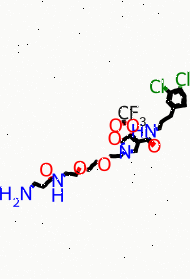 NCCC(=O)NCCOCCOCCN1CC(C(=O)NCCCc2ccc(Cl)c(Cl)c2)=C(OC(=O)C(F)(F)F)C1=O